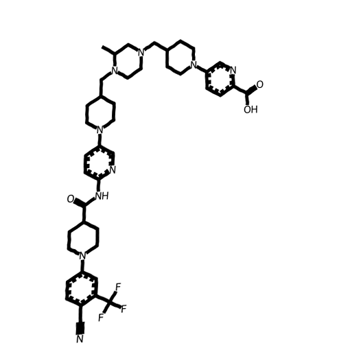 CC1CN(CC2CCN(c3ccc(C(=O)O)nc3)CC2)CCN1CC1CCN(c2ccc(NC(=O)C3CCN(c4ccc(C#N)c(C(F)(F)F)c4)CC3)nc2)CC1